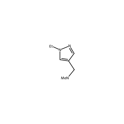 CCn1cc(CNC)cn1